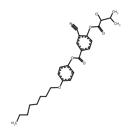 CCCCCCCCOc1ccc(OC(=O)c2ccc(OC(=O)C(Cl)C(C)C)c(C#N)c2)cc1